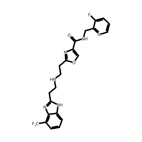 O=C(NCc1ncccc1F)c1coc(CCNCCc2nc3c(C(F)(F)F)cccc3[nH]2)n1